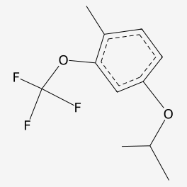 Cc1ccc(OC(C)C)cc1OC(F)(F)F